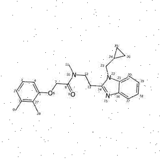 Cc1cccc(OCC(=O)N(C)CCc2nc3ccccc3n2CC2CC2)c1C